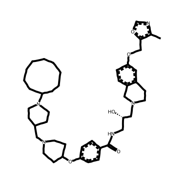 Cc1ncoc1COc1ccc2c(c1)CCN(C[C@@H](O)CNC(=O)c1ccc(OC3CCN(CC4CCN(C5CCCCCCCCC5)CC4)CC3)cc1)C2